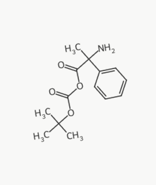 CC(C)(C)OC(=O)OC(=O)C(C)(N)c1ccccc1